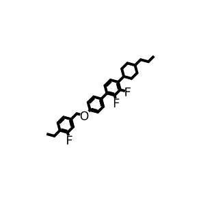 CCCC1CCC(c2ccc(-c3ccc(OCc4ccc(CC)c(F)c4)cc3)c(F)c2F)CC1